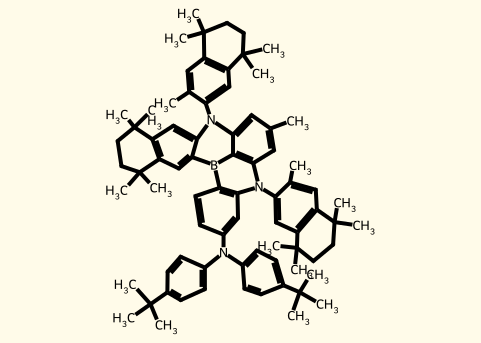 Cc1cc2c3c(c1)N(c1cc4c(cc1C)C(C)(C)CCC4(C)C)c1cc4c(cc1B3c1ccc(N(c3ccc(C(C)(C)C)cc3)c3ccc(C(C)(C)C)cc3)cc1N2c1cc2c(cc1C)C(C)(C)CCC2(C)C)C(C)(C)CCC4(C)C